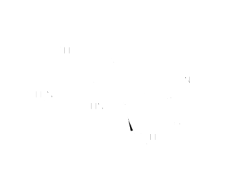 C[C@@H](N)C(=O)N[C@@H](CC(N)=O)C(=O)O